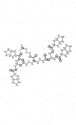 CN(C)CCCSC(=O)N(CCCC(=O)OC(COC(=O)C1CC2CCCC2C1)COC(=O)C1CC2CCCC2C1)CCCC(=O)OC(COC(=O)C1CC2CCCC2C1)COC(=O)C1CC2CCCC2C1